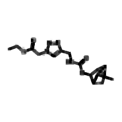 CCOC(=O)Cn1cc(CNC(=O)OC2C3CC4C(C3C)C42)nn1